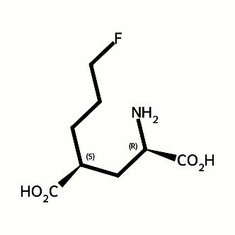 N[C@H](C[C@H](CCCF)C(=O)O)C(=O)O